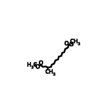 COC(=O)CCCCCCCCCCCC(C)CCC(=O)OC